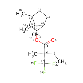 CCC(C)(C(=O)OC1CC2(C)CCC1C2(C)C)C(F)(F)F